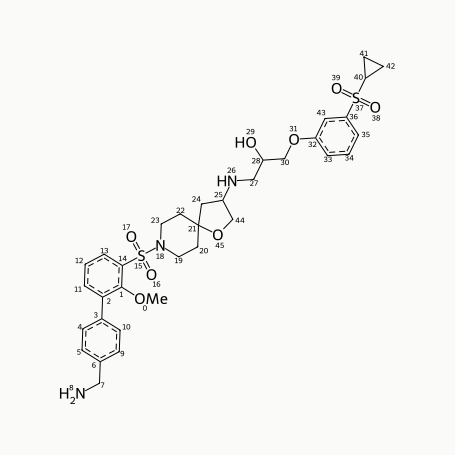 COc1c(-c2ccc(CN)cc2)cccc1S(=O)(=O)N1CCC2(CC1)CC(NCC(O)COc1cccc(S(=O)(=O)C3CC3)c1)CO2